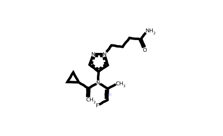 C=C(C1CC1)N(/C(C)=C\F)c1cnn(CCCC(N)=O)c1